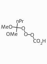 CCCC(OC)(OC)OOOC(=O)O